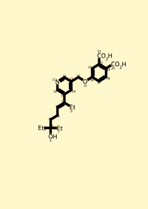 CC/C(=C\CCC(O)(CC)CC)c1cncc(COc2ccc(C(=O)O)c(C(=O)O)c2)c1